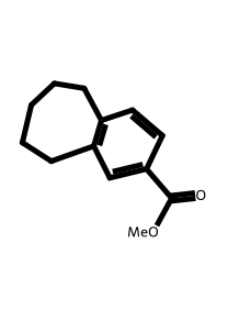 COC(=O)c1ccc2c(c1)CCCCC2